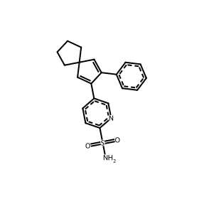 NS(=O)(=O)c1ccc(C2=CC3(C=C2c2ccccc2)CCCC3)cn1